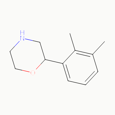 Cc1cccc(C2CNCCO2)c1C